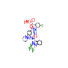 O=C(O)Cc1ccc(F)cc1NC(=O)c1ccc(N2CCCCC2)c(NC(=O)c2nn(CC(F)(F)F)c3ccccc23)c1